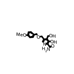 COc1ccc(COCc2cnc(C(N)=O)c(O)c2CO)cc1